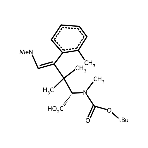 CN/C=C(\c1ccccc1C)C(C)(C)[C@@H](C(=O)O)N(C)C(=O)OC(C)(C)C